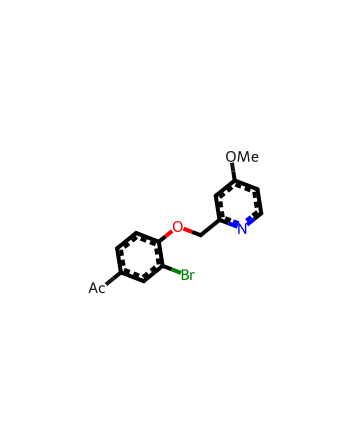 COc1ccnc(COc2ccc(C(C)=O)cc2Br)c1